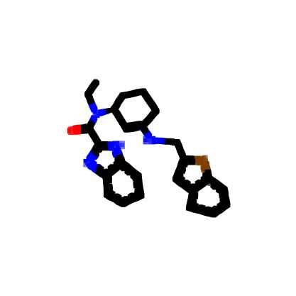 CCN(C(=O)c1nc2ccccc2[nH]1)[C@@H]1C=C(NCc2cc3ccccc3s2)CCC1